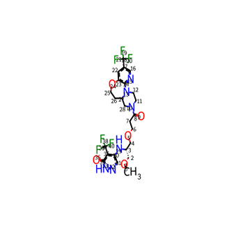 COC[C@@H](COCCC(=O)N1CCN2c3ncc(C(F)(F)F)cc3OCCC2C1)Nc1cn[nH]c(=O)c1C(F)(F)F